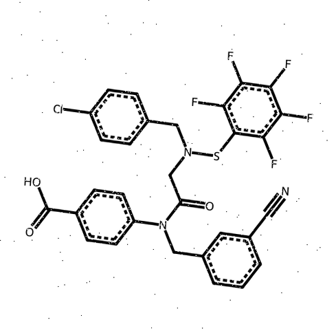 N#Cc1cccc(CN(C(=O)CN(Cc2ccc(Cl)cc2)Sc2c(F)c(F)c(F)c(F)c2F)c2ccc(C(=O)O)cc2)c1